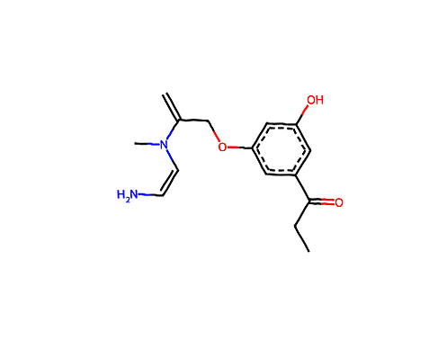 C=C(COc1cc(O)cc(C(=O)CC)c1)N(C)/C=C\N